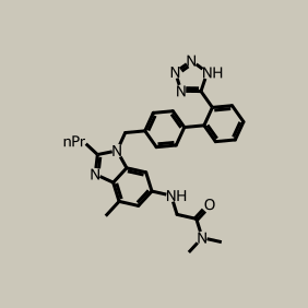 CCCc1nc2c(C)cc(NCC(=O)N(C)C)cc2n1Cc1ccc(-c2ccccc2-c2nnn[nH]2)cc1